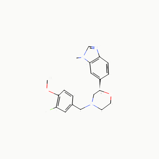 COc1ccc(CN2CCO[C@H](c3ccc4ncn(C)c4c3)C2)cc1F